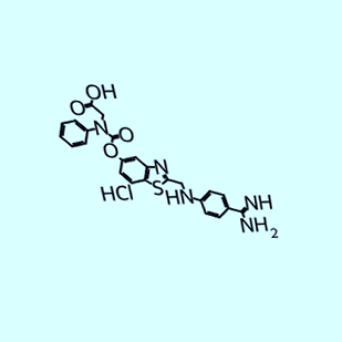 Cl.N=C(N)c1ccc(NCc2nc3cc(OC(=O)N(CC(=O)O)c4ccccc4)ccc3s2)cc1